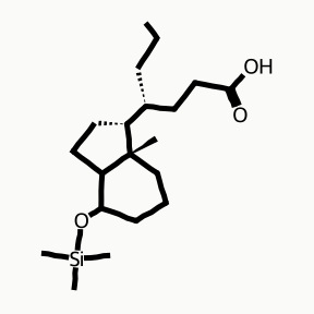 CCC[C@H](CCC(=O)O)[C@H]1CCC2C(O[Si](C)(C)C)CCC[C@]21C